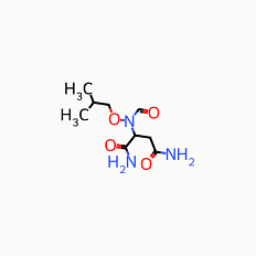 CC(C)CON(C=O)C(CC(N)=O)C(N)=O